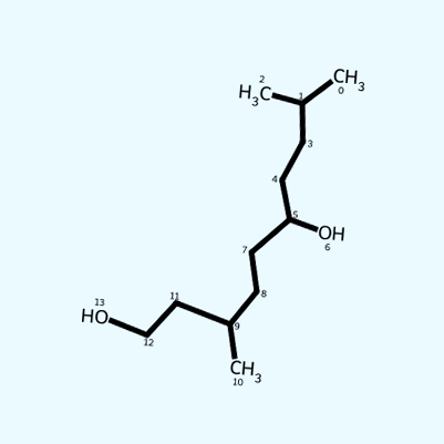 CC(C)CCC(O)CCC(C)CCO